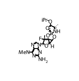 CNc1nc(N)nc2c1ncn2[C@@H]1O[C@@H]2C3OP(=S)(N[C@@H](C)C(=O)OC(C)C)O[C@]32[C@@]1(C)F